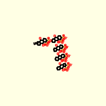 O=C1c2ccccc2C(=O)c2c1ccc(S(=O)(=O)[O-])c2S(=O)(=O)[O-].O=C1c2ccccc2C(=O)c2c1ccc(S(=O)(=O)[O-])c2S(=O)(=O)[O-].O=C1c2ccccc2C(=O)c2c1ccc(S(=O)(=O)[O-])c2S(=O)(=O)[O-].O=C1c2ccccc2C(=O)c2c1ccc(S(=O)(=O)[O-])c2S(=O)(=O)[O-].O=C1c2ccccc2C(=O)c2c1ccc(S(=O)(=O)[O-])c2S(=O)(=O)[O-].[V+5].[V+5]